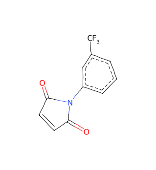 O=C1C=CC(=O)N1c1cccc(C(F)(F)F)c1